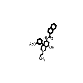 C=CCN1CCC2(c3cccc(OC(C)=O)c3)CC(NC(=O)c3ccc4ccccc4c3)CC(O)C2C1